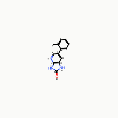 Cc1ccccc1-c1cnc2[nH]c(=O)[nH]c2c1